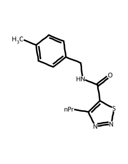 CCCc1nnsc1C(=O)NCc1ccc(C)cc1